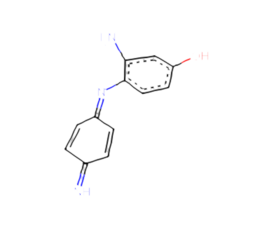 N=C1C=CC(=Nc2ccc(O)cc2N)C=C1